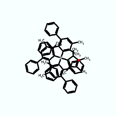 CC1=C(C)C(C)C([Si](c2c(C)c(C)cc(-c3ccccc3)c2-c2ccccc2)(c2c(C)c(C)cc(-c3ccccc3)c2-c2ccccc2)c2c(C)c(C)cc(-c3ccccc3)c2-c2ccccc2)=C1C